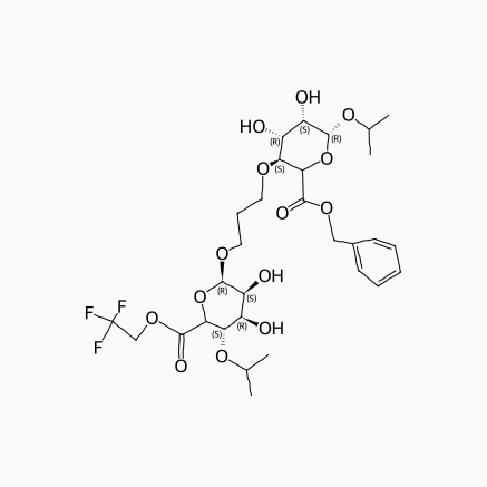 CC(C)O[C@@H]1OC(C(=O)OCc2ccccc2)[C@@H](OCCCO[C@@H]2OC(C(=O)OCC(F)(F)F)[C@@H](OC(C)C)[C@H](O)[C@@H]2O)[C@H](O)[C@@H]1O